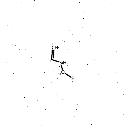 [CH]=C[SiH2]OCC